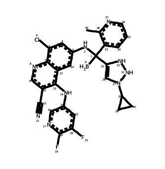 BC(Nc1cc(Cl)c2ncc(C#N)c(Nc3cnc(F)c(F)c3)c2c1)(C1=CN(C2CC2)NN1)c1cccnc1C